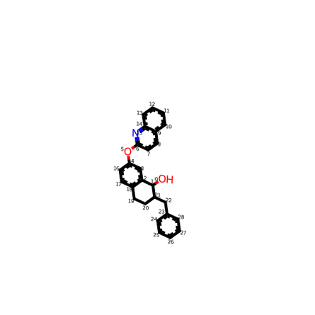 OC1c2cc(Oc3ccc4ccccc4n3)ccc2CCC1Cc1ccccc1